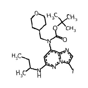 CCC(C)Nc1cc(N(CC2CCOCC2)C(=O)OC(C)(C)C)c2ncc(I)n2n1